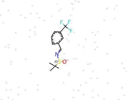 CC(C)(C)[S@@+]([O-])N=Cc1cccc(C(F)(F)F)c1